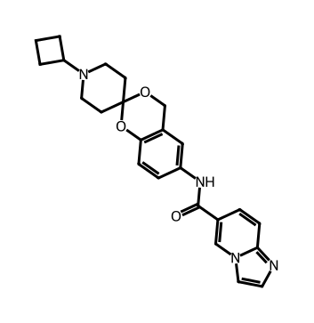 O=C(Nc1ccc2c(c1)COC1(CCN(C3CCC3)CC1)O2)c1ccc2nccn2c1